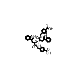 O=C(O)c1ccc(CNC(=O)C(Cc2c[nH]c3ccccc23)SSC(Cc2c[nH]c3ccccc23)C(=O)NCc2ccc(C(=O)O)cc2)cc1